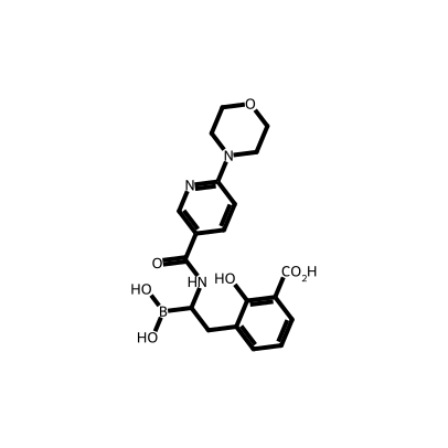 O=C(NC(Cc1cccc(C(=O)O)c1O)B(O)O)c1ccc(N2CCOCC2)nc1